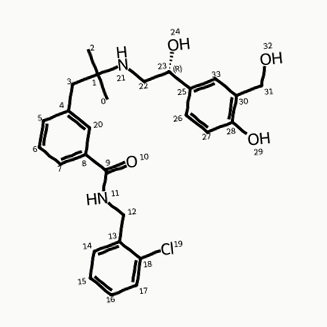 CC(C)(Cc1cccc(C(=O)NCc2ccccc2Cl)c1)NC[C@H](O)c1ccc(O)c(CO)c1